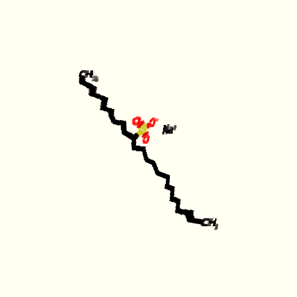 CCCCCCCCCCCCCCC(CCCCCCCCCC)S(=O)(=O)[O-].[Na+]